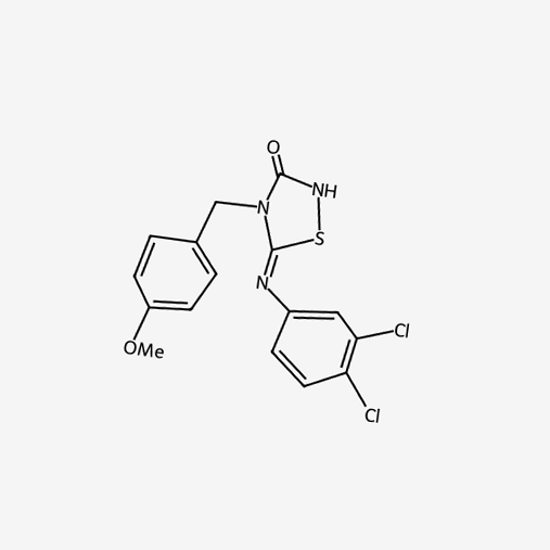 COc1ccc(Cn2c(=O)[nH]sc2=Nc2ccc(Cl)c(Cl)c2)cc1